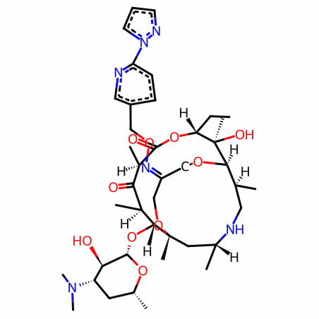 CC[C@H]1OC(=O)[C@H](C)C(=O)[C@H](C)[C@@H](O[C@@H]2O[C@H](C)C[C@H](N(C)C)[C@H]2O)[C@@]2(C)C[C@@H](C)NC[C@H](C)[C@@H](OC/C(=N\OCc3ccc(-n4cccn4)nc3)CO2)[C@]1(C)O